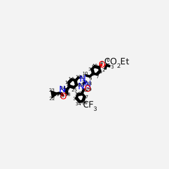 CCOC(=O)C(C)(C)Oc1ccc(CCN(Cc2ccc(-c3coc(C4CC4)n3)cc2)c2noc(-c3cccc(C(F)(F)F)c3)n2)cc1